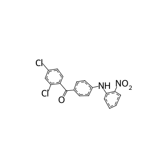 O=C(c1ccc(Nc2ccccc2[N+](=O)[O-])cc1)c1ccc(Cl)cc1Cl